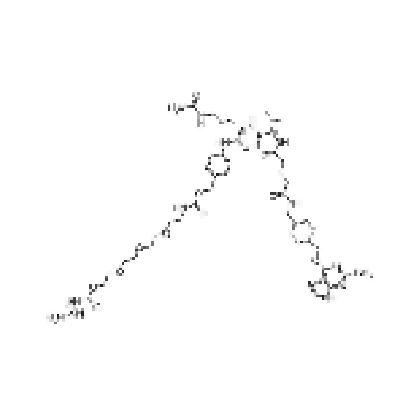 CC(C)[C@H](NC(=O)CCCC(=O)NCc1ccc(COc2nc(N)nc3[nH]cnc23)cc1)C(=O)N[C@@H](CCCNC(N)=O)C(=O)Nc1ccc(COC(=O)NCCOCCOCCOCCOC(=O)NNN)cc1